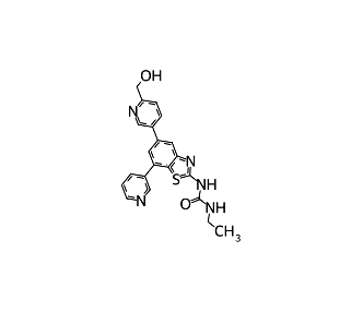 CCNC(=O)Nc1nc2cc(-c3ccc(CO)nc3)cc(-c3cccnc3)c2s1